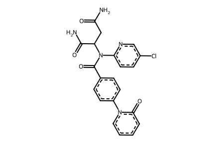 NC(=O)CC(C(N)=O)N(C(=O)c1ccc(-n2ccccc2=O)cc1)c1ccc(Cl)cn1